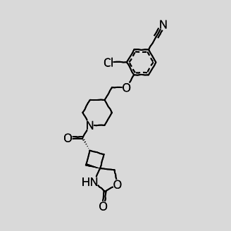 N#Cc1ccc(OCC2CCN(C(=O)[C@H]3C[C@]4(COC(=O)N4)C3)CC2)c(Cl)c1